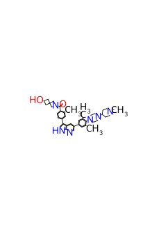 Cc1cc(-c2c[nH]c3ncc(-c4cc(C)c(N5CCN(C6CCN(C)CC6)CC5)c(C)c4)cc23)ccc1C(=O)N1CC2(CC(O)C2)C1